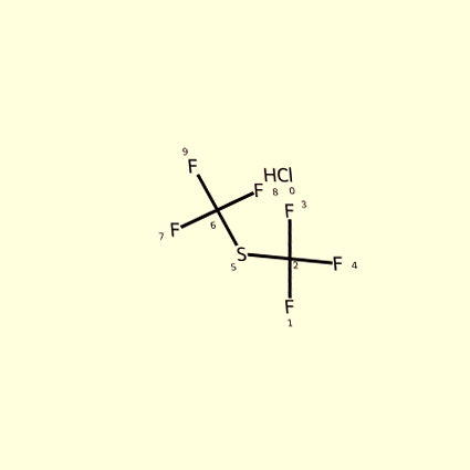 Cl.FC(F)(F)SC(F)(F)F